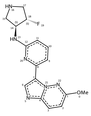 COc1ccc2ncc(-c3cccc(N[C@H]4CNC[C@@H]4F)n3)n2n1